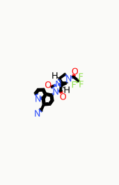 N#Cc1ccc(N2C(=O)[C@@H]3C4C[C@H](CN4C(=O)C(F)(F)F)N3C2=O)c2cccnc12